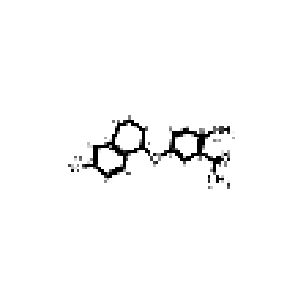 CC(=N)c1cc(OC2CCCc3cc(C#N)ccc32)ccc1N